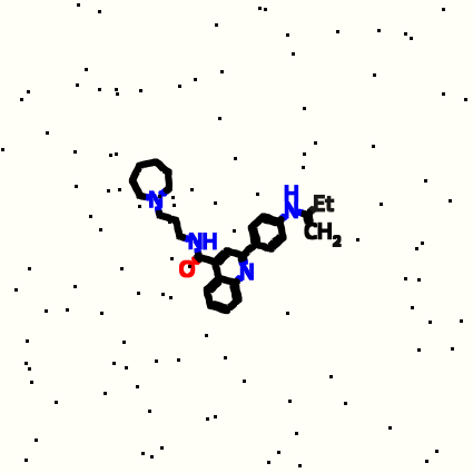 C=C(CC)Nc1ccc(-c2cc(C(=O)NCCCN3CCCCCC3)c3ccccc3n2)cc1